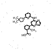 Cc1c(C(=O)O)cccc1-c1cc(Nc2cccc(N3CCC(C)(C)C3)n2)c2nccn2n1